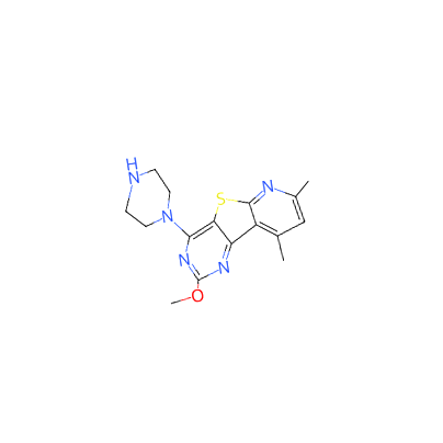 COc1nc(N2CCNCC2)c2sc3nc(C)cc(C)c3c2n1